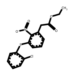 CCOC(=O)Cc1cccc(Sc2ccccc2Cl)c1[N+](=O)[O-]